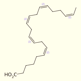 C/C=C\CC/C=C\C/C=C\C/C=C\C/C=C\CCCCC(=O)O